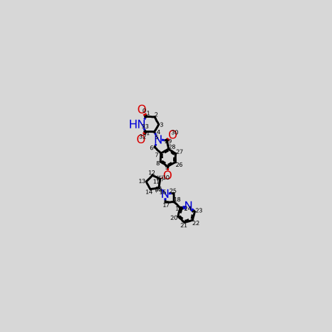 O=C1CCC(N2Cc3cc(O[C@H]4CCC[C@H]4N4CC(c5ccccn5)C4)ccc3C2=O)C(=O)N1